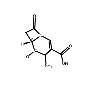 NC1C(C(=O)O)=CN2C(=O)C[C@H]2[S+]1[O-]